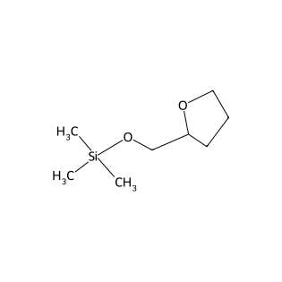 C[Si](C)(C)OCC1CCCO1